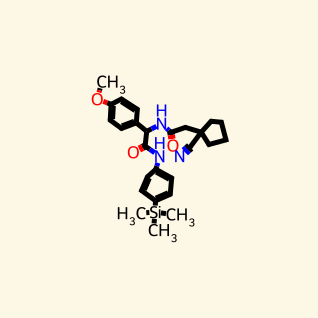 COc1ccc(C(NC(=O)CC2(C#N)CCCC2)C(=O)Nc2ccc([Si](C)(C)C)cc2)cc1